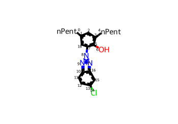 CCCCCc1cc(CCCCC)c(O)c(-n2n3c4ccc(Cl)cc4n23)c1